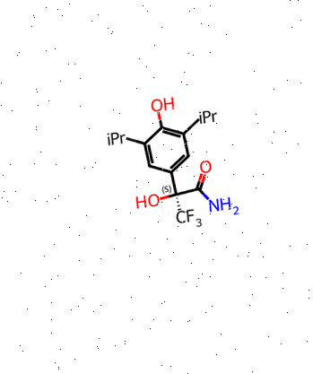 CC(C)c1cc([C@](O)(C(N)=O)C(F)(F)F)cc(C(C)C)c1O